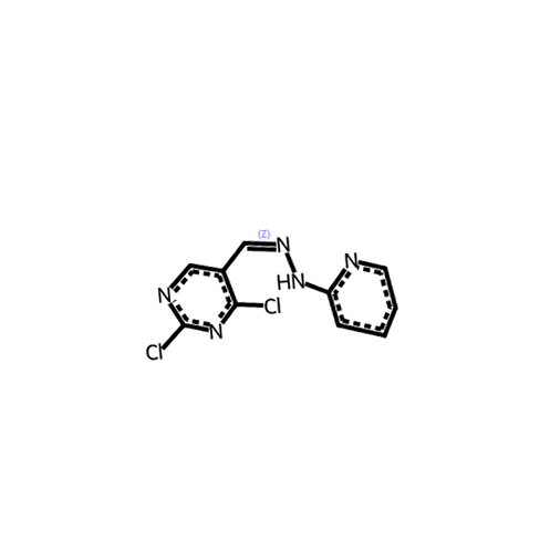 Clc1ncc(/C=N\Nc2ccccn2)c(Cl)n1